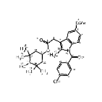 COc1ccc2c(c1)c(CC(=O)OC1CC(C)(C)N(O)C(C)(C)C1)c(C)n2C(=O)c1ccc(Cl)cc1